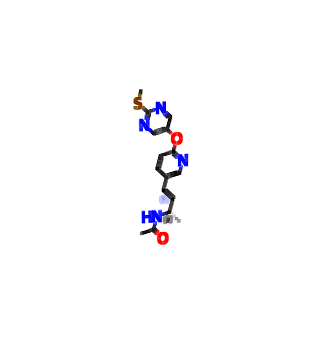 CSc1ncc(Oc2ccc(/C=C/[C@H](C)NC(C)=O)cn2)cn1